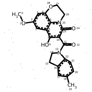 COc1cc2c3c(c1)c(O)c(C(=O)N1CCc4cc(C)ccc41)c(=O)n3CCO2